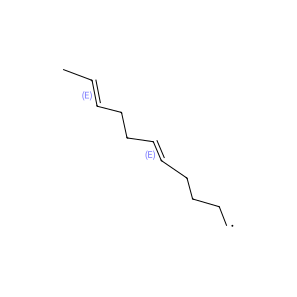 [CH2]CCC/C=C/CC/C=C/C